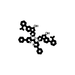 CC(C)c1ccccc1-c1ccc2c(c1)C(O)CC21CCN(c2cc(-c3ccccc3)cnc2C(=O)c2ncc(-c3ccccc3)cc2N2CCC3(CC(O)c4cc(-c5ccccc5C(C)C)ccc43)C2)C1